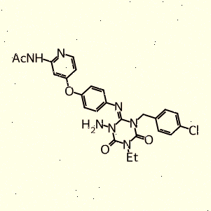 CCn1c(=O)n(N)/c(=N\c2ccc(Oc3ccnc(NC(C)=O)c3)cc2)n(Cc2ccc(Cl)cc2)c1=O